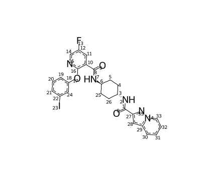 O=C(N[C@H]1CC[C@H](NC(=O)c2cc(F)cnc2Oc2cccc(I)c2)CC1)c1cc2ccccn2n1